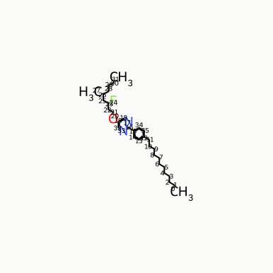 CCCCCCCCCCCCc1ccc(-c2ncc(OCCC(F)CC(C)CCCC)cn2)cc1